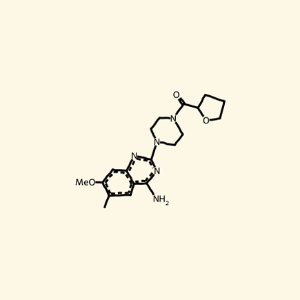 COc1cc2nc(N3CCN(C(=O)C4CCCO4)CC3)nc(N)c2cc1C